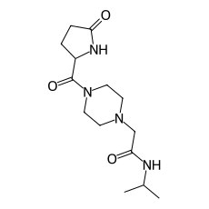 CC(C)NC(=O)CN1CCN(C(=O)C2CCC(=O)N2)CC1